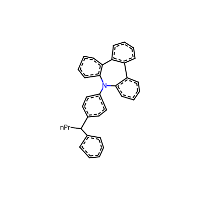 CCCC(c1ccccc1)c1ccc(N2c3ccccc3-c3ccccc3-c3ccccc32)cc1